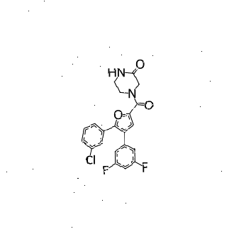 O=C1CN(C(=O)c2cc(-c3cc(F)cc(F)c3)c(-c3cccc(Cl)c3)o2)CCN1